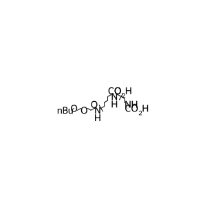 CCCCOCCOCCC(=O)NC(C)(C)CCCCC(NC(=O)C(C)(C)CCNC(=O)O)C(=O)O